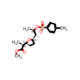 COC(=O)[C@@H](C)[C@@H]1CC[C@H](C[C@@H](C)OS(=O)(=O)c2ccc(C)cc2)O1